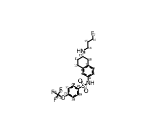 O=S(=O)(Nc1ccc2c(c1)CC[C@H](NCCCF)C2)c1ccc(OC(F)(F)F)cc1